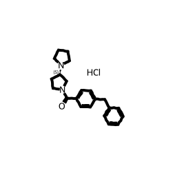 Cl.O=C(c1ccc(Cc2ccccc2)cc1)N1CC[C@H](N2CCCC2)C1